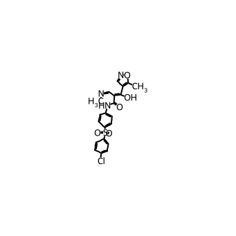 C/N=C\C(C(=O)Nc1ccc(S(=O)(=O)c2ccc(Cl)cc2)cc1)=C(\O)c1cnoc1C